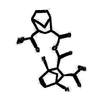 O=C(O)C1C2C=CC(C2)C1C(=O)OC(=O)[C@H]1[C@@H](C(=O)O)[C@@H]2C=C[C@H]1C2